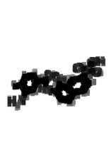 Cc1ccc(C(=O)Nc2ccc3ccc(S(=O)(=O)O)cc3c2O)cc1N